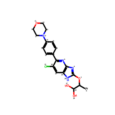 CC(C)C(Oc1nc2nc(-c3ccc(N4CCOCC4)cc3)c(Cl)cc2[nH]1)C(O)O